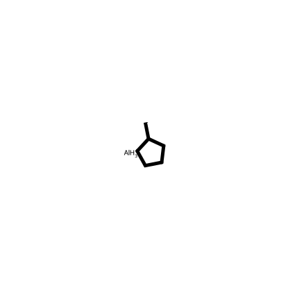 [AlH3].[CH2]C1CCCC1